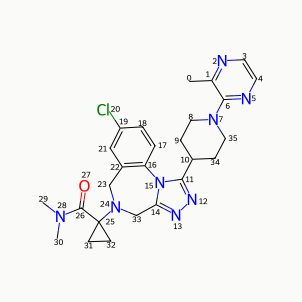 Cc1nccnc1N1CCC(c2nnc3n2-c2ccc(Cl)cc2CN(C2(C(=O)N(C)C)CC2)C3)CC1